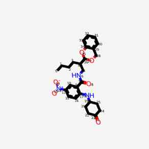 CCCCC(CNC(=O)c1cc([N+](=O)[O-])ccc1NC1CCC(=O)CC1)C1OCc2ccccc2O1